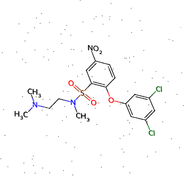 CN(C)CCN(C)S(=O)(=O)c1cc([N+](=O)[O-])ccc1Oc1cc(Cl)cc(Cl)c1